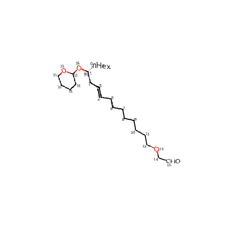 CCCCCC[C@H](CC=CCCCCCCCCOCC=O)OC1CCCCO1